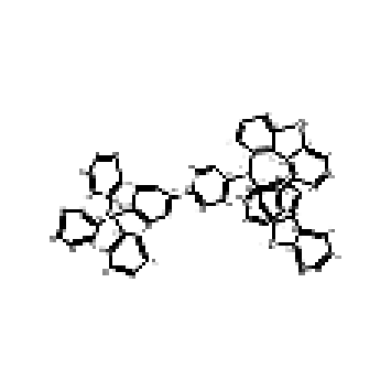 c1ccc(-c2cccc3oc4cccc(N(c5ccc(-c6ccc([Si](c7ccccc7)(c7ccccc7)c7ccccc7)cc6)cc5)c5ccc6c(c5)oc5ccccc56)c4c23)cc1